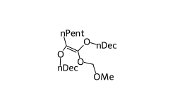 CCCCCCCCCCOC(CCCCC)=C(OCCCCCCCCCC)OCOC